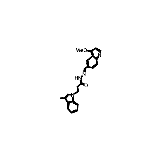 COc1ccnc2ccc(/C=N/NC(=O)CCn3cc(C)c4ccccc43)cc12